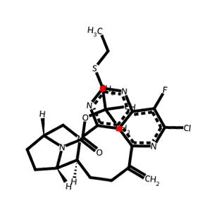 C=C1CC[C@H]2[C@@H]3CC[C@H](CN2c2nc(SCC)nc4c(F)c(Cl)nc1c24)N3C(=O)OC(C)(C)C